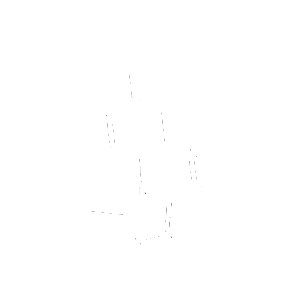 Cc1nnc2c(Cl)nc3cc(F)c(F)cc3n12